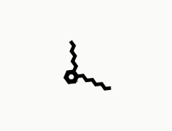 CCCCCCCc1[c]cccc1CCCCCC